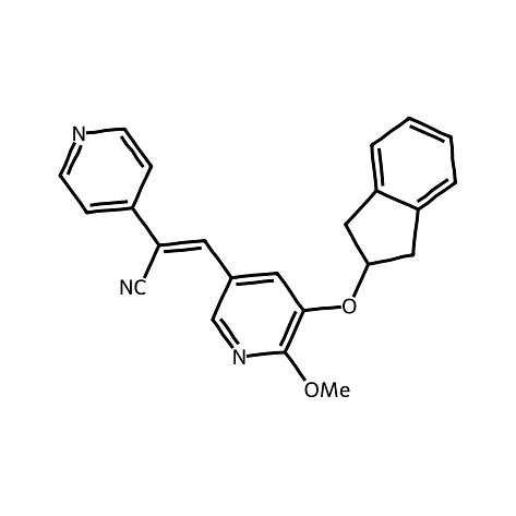 COc1ncc(/C=C(\C#N)c2ccncc2)cc1OC1Cc2ccccc2C1